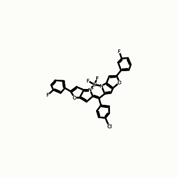 Fc1cccc(-c2cc3c(o2)=CC2=C(c4ccc(Cl)cc4)c4cc5oc(-c6cccc(F)c6)cc5n4[B-](F)(F)[N+]=32)c1